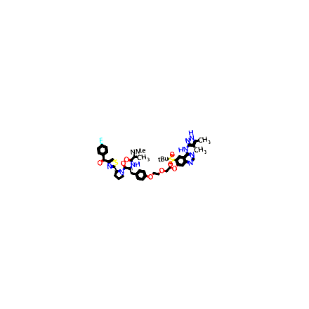 CN[C@@H](C)C(=O)N[C@@H](Cc1ccc(OCCOCCOc2cc3ncnc(Nc4n[nH]c(C)c4C)c3cc2S(=O)(=O)C(C)(C)C)cc1)C(=O)N1CCC[C@H]1c1nc(C(=O)c2ccc(F)cc2)cs1